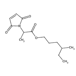 CCC(C)CCCOC(=O)C(C)N1C(=O)C=CC1=O